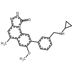 COc1cc2c(C)cc3n[nH]c(=O)n3c2cc1-c1cccc(CNC2CC2)c1